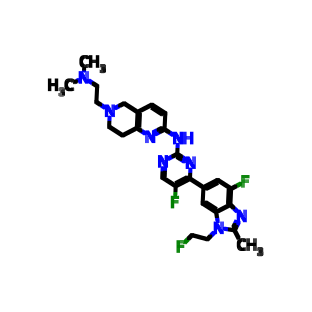 Cc1nc2c(F)cc(-c3nc(Nc4ccc5c(n4)CCN(CCN(C)C)C5)ncc3F)cc2n1CCF